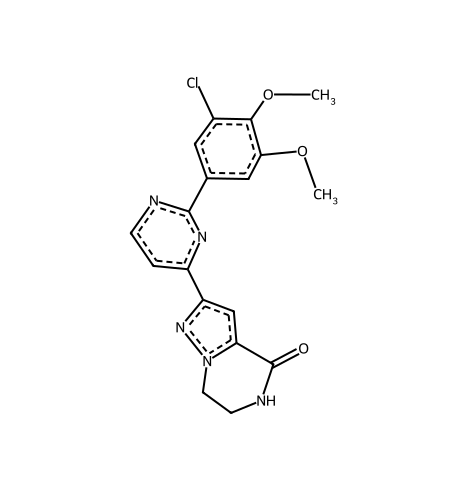 COc1cc(-c2nccc(-c3cc4n(n3)CCNC4=O)n2)cc(Cl)c1OC